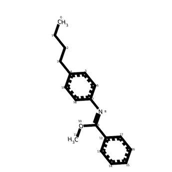 CCCCc1ccc(N=C(OC)c2ccccc2)cc1